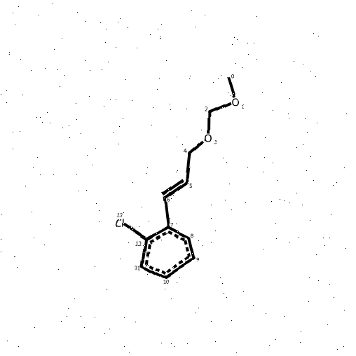 COCOC/C=C/c1ccccc1Cl